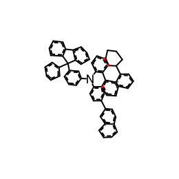 c1ccc(C2(c3cccc(N(c4ccc(-c5ccc6ccccc6c5)cc4)c4ccccc4-c4cccc5cccc(C6CCCCC6)c45)c3)c3ccccc3-c3ccccc32)cc1